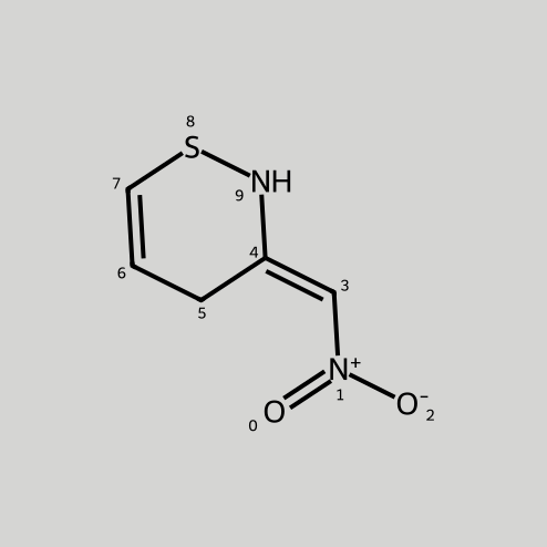 O=[N+]([O-])C=C1CC=CSN1